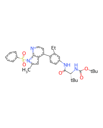 CCc1cc(NC(=O)[C@H](NC(=O)OC(C)(C)C)C(C)(C)C)ccc1-c1ccnc2c1cc(C)n2S(=O)(=O)c1ccccc1